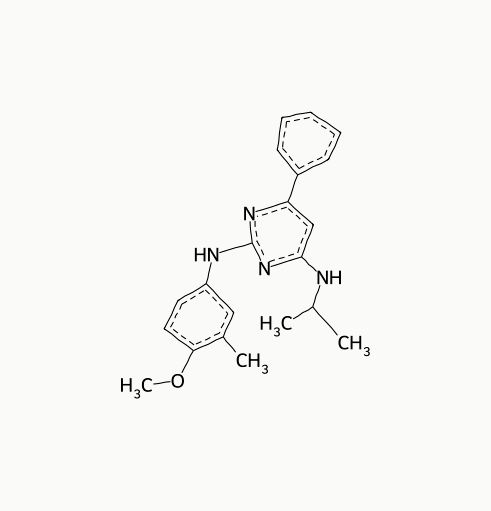 COc1ccc(Nc2nc(NC(C)C)cc(-c3ccccc3)n2)cc1C